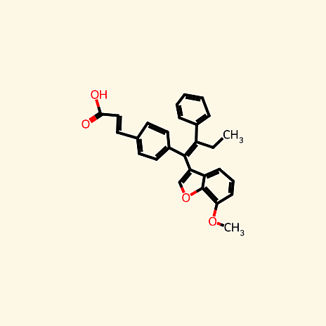 CCC(=C(c1ccc(C=CC(=O)O)cc1)c1coc2c(OC)cccc12)c1ccccc1